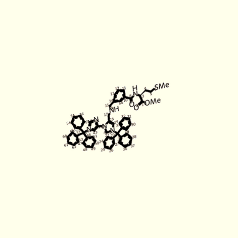 COC(=O)[C@H](CCSC)NC(=O)c1cccc(CNCC2=CN(C(c3ccccc3)(c3ccccc3)c3ccccc3)CN2c2cn(C(c3ccccc3)(c3ccccc3)c3ccccc3)cn2)c1